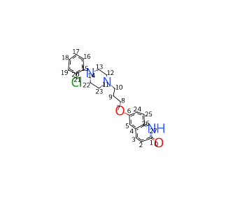 O=c1ccc2cc(OCCCN3CCN(c4ccccc4Cl)CC3)ccc2[nH]1